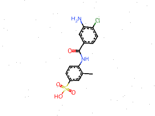 Cc1cc(S(=O)(=O)O)ccc1NC(=O)c1ccc(Cl)c(N)c1